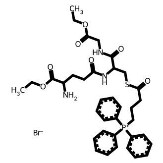 CCOC(=O)CNC(=O)C(CSC(=O)CCC[P+](c1ccccc1)(c1ccccc1)c1ccccc1)NC(=O)CCC(N)C(=O)OCC.[Br-]